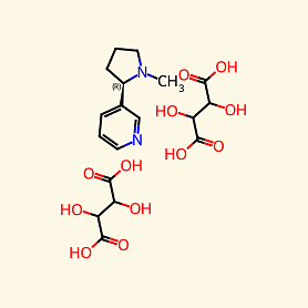 CN1CCC[C@@H]1c1cccnc1.O=C(O)C(O)C(O)C(=O)O.O=C(O)C(O)C(O)C(=O)O